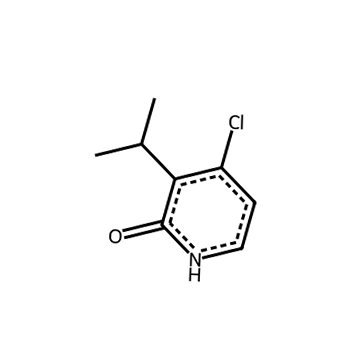 CC(C)c1c(Cl)cc[nH]c1=O